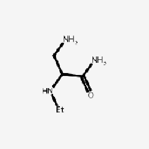 CCNC(CN)C(N)=O